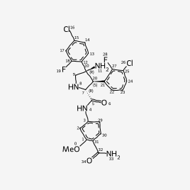 COc1cc(NC(=O)[C@@H]2NC[C@](N)(c3ccc(Cl)cc3F)[C@H]2c2cccc(Cl)c2F)ccc1C(N)=O